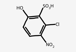 O=[N+]([O-])c1ccc(O)c(S(=O)(=O)O)c1Cl